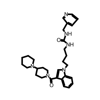 O=C(NCCCCn1cc(C(=O)N2CCC(N3CCCCC3)CC2)c2ccccc21)NCc1cccnc1